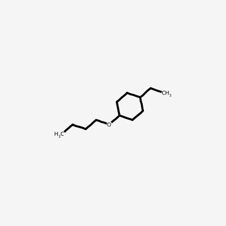 CCCCOC1CCC(CC)CC1